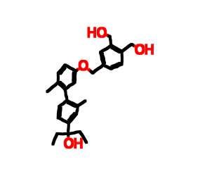 CCC(O)(CC)c1ccc(-c2cc(OCc3ccc(CO)c(CO)c3)ccc2C)c(C)c1